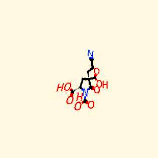 N#CCC[C@]1(C(=O)O)C[C@@H](C(=O)O)N(C(=O)O)C1=O